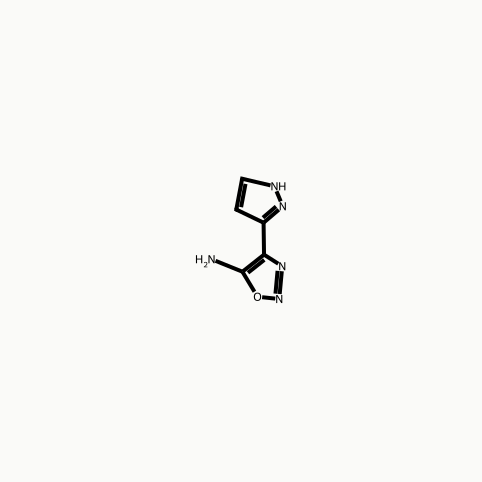 Nc1onnc1-c1cc[nH]n1